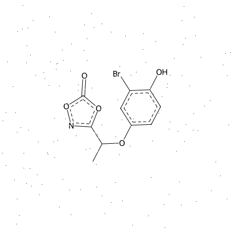 CC(Oc1ccc(O)c(Br)c1)c1noc(=O)o1